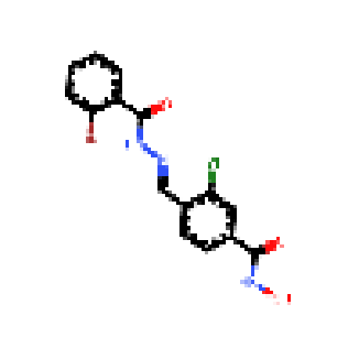 O=C(NO)c1ccc(C=NNC(=O)c2ccccc2Br)c(Cl)c1